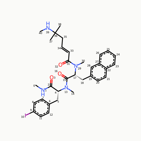 CNC(=O)[C@@H](Cc1ccc(I)cc1)N(C)C(=O)[C@@H](Cc1ccc2ccccc2c1)N(C)C(=O)C=CCC(C)(C)NC